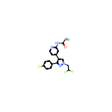 CCC(C)C(=O)Nc1cc(-c2cn(CC(F)F)nc2-c2ccc(F)cc2)ccn1